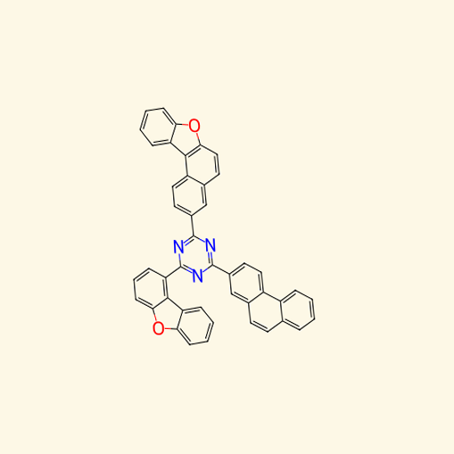 c1ccc2c(c1)ccc1cc(-c3nc(-c4ccc5c(ccc6oc7ccccc7c65)c4)nc(-c4cccc5oc6ccccc6c45)n3)ccc12